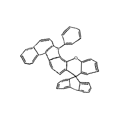 c1ccc(-n2c3ccc4ccccc4c3c3ccc4c(c32)Oc2ccccc2C42c3ccccc3-c3ccccc32)cc1